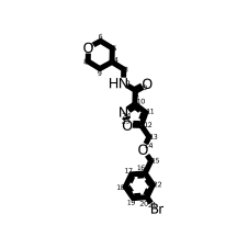 O=C(NCC1CCOCC1)c1cc(COCc2cccc(Br)c2)on1